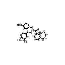 CC(C)(C)c1ccc(CN(CCc2ccc(Cl)c(Cl)c2)C(=O)c2cccc3c2NCCCC3)cc1